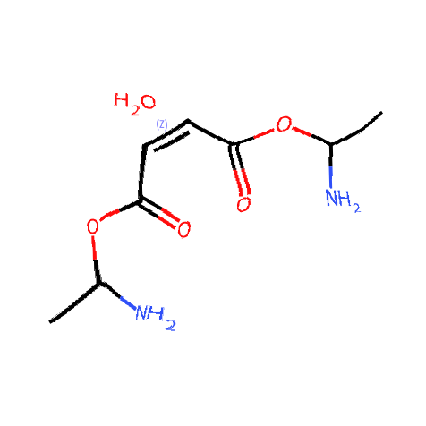 CC(N)OC(=O)/C=C\C(=O)OC(C)N.O